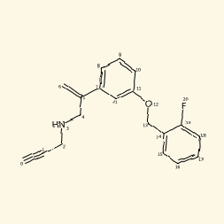 C#CCNCC(=C)c1cccc(OCc2ccccc2F)c1